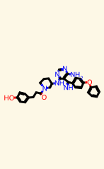 N=C(c1ccc(Oc2ccccc2)cc1)c1c(N)ncnc1NC1CCCN(C(=O)CCc2ccc(O)cc2)C1